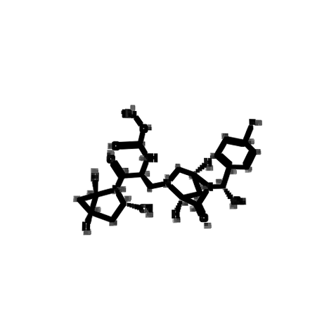 CC(C)(C)OC(=O)N[C@@H](CN1C[C@@H]2C[C@H]1C(=O)N2[C@H](c1ccc(F)cc1)C(C)(C)C)C(=O)N1[C@H](C#N)C[C@@H]2C[C@@H]21